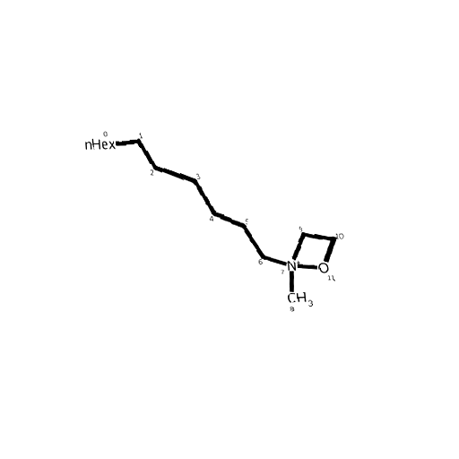 CCCCCCCCCCCC[N+]1(C)CCO1